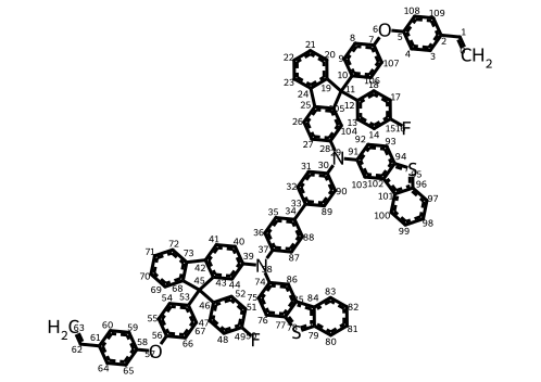 C=Cc1ccc(Oc2ccc(C3(c4ccc(F)cc4)c4ccccc4-c4ccc(N(c5ccc(-c6ccc(N(c7ccc8c(c7)C(c7ccc(F)cc7)(c7ccc(Oc9ccc(C=C)cc9)cc7)c7ccccc7-8)c7ccc8sc9ccccc9c8c7)cc6)cc5)c5ccc6sc7ccccc7c6c5)cc43)cc2)cc1